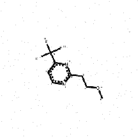 COCCc1nc[c]c(C(F)(F)F)n1